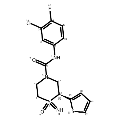 N=S1(=O)CCN(C(=O)Nc2ccc(F)c(Cl)c2)C[C@H]1c1cccs1